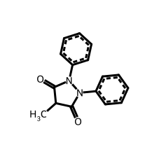 CC1C(=O)N(c2ccccc2)N(c2ccccc2)C1=O